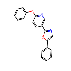 c1ccc(Oc2ccc(-c3ncc(-c4ccccc4)o3)cn2)cc1